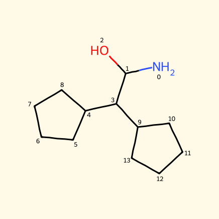 NC(O)C(C1CCCC1)C1CCCC1